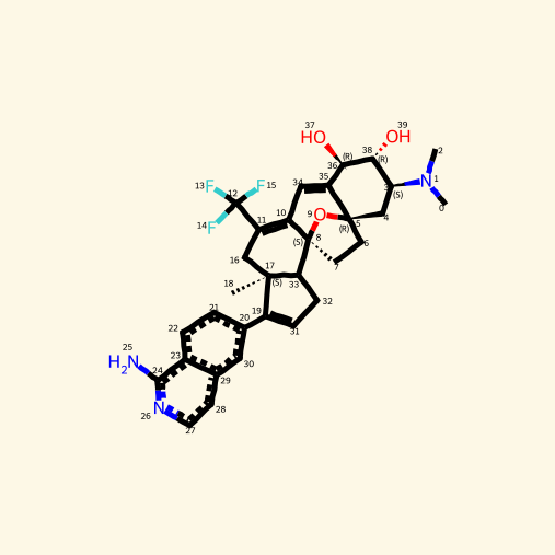 CN(C)[C@H]1C[C@@]23CC[C@@]4(O2)C(=C(C(F)(F)F)C[C@]2(C)C(c5ccc6c(N)nccc6c5)=CCC24)C=C3[C@@H](O)[C@@H]1O